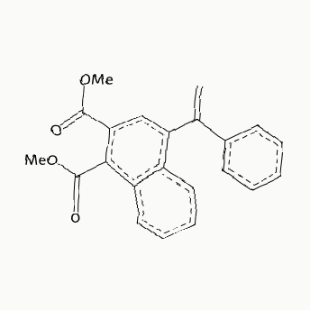 C=C(c1ccccc1)c1cc(C(=O)OC)c(C(=O)OC)c2ccccc12